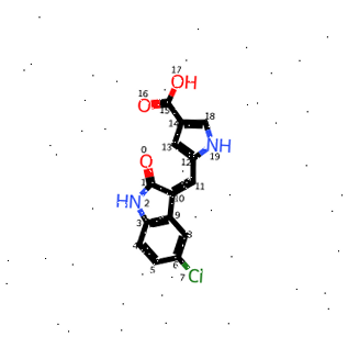 O=C1Nc2ccc(Cl)cc2/C1=C/c1cc(C(=O)O)c[nH]1